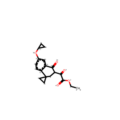 CCOC(=O)C(=O)C1CC2(CC2)c2ccc(OC3CC3)cc2C1=O